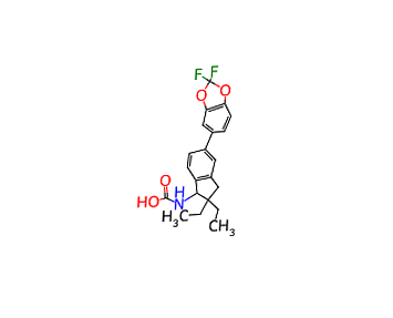 CCC1(CC)Cc2cc(-c3ccc4c(c3)OC(F)(F)O4)ccc2C1NC(=O)O